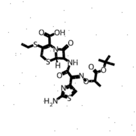 CCSC1=C(C(=O)O)N2C(=O)C(NC(=O)C(=NOC(C)C(=O)OC(C)(C)C)c3csc(N)n3)[C@@H]2SC1